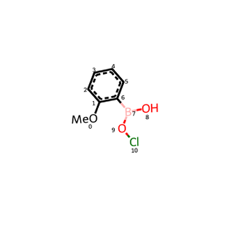 COc1ccccc1B(O)OCl